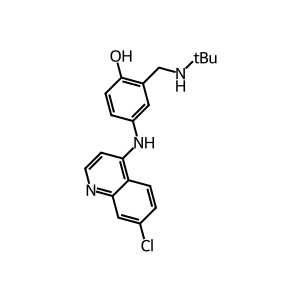 CC(C)(C)NCc1cc(Nc2ccnc3cc(Cl)ccc23)ccc1O